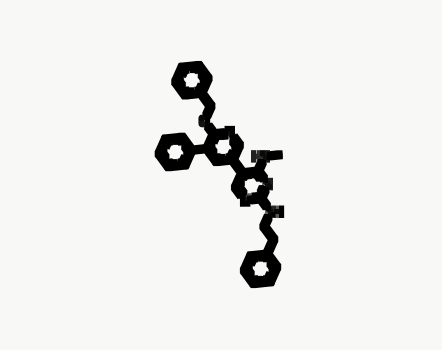 CNc1nc(NCCc2ccccc2)ncc1-c1cnc(OCc2ccccc2)c(-c2ccccc2)c1